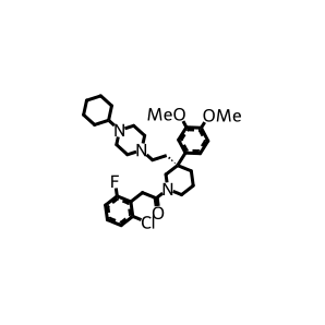 COc1ccc([C@@]2(CCN3CCN(C4CCCCC4)CC3)CCCN(C(=O)Cc3c(F)cccc3Cl)C2)cc1OC